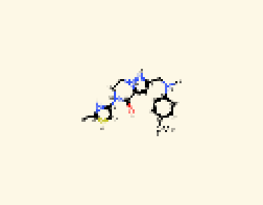 COc1ccc(N(C)Cc2cc3n(n2)CCN(c2csc(C)n2)C3=O)cc1